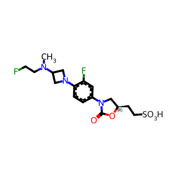 CN(CCF)C1CN(c2ccc(N3C[C@@H](CCS(=O)(=O)O)OC3=O)cc2F)C1